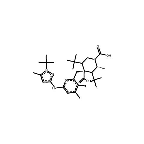 Cc1cc(Nc2cc(C)n(C(C)(C)C)n2)nc(C[C@@]2(C(=O)O)C(C(C)(C)C)CN(C(=O)O)[C@H](C)C2C(C)(C)C)c1F